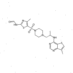 Cc1nc(NC=O)sc1S(=O)(=O)N1CCN(CC(C)Nc2ncnc3c(C)csc23)CC1